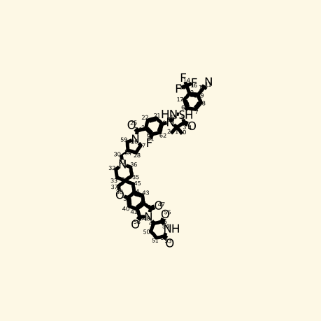 CC1(C)C(=O)[SH](c2ccc(C#N)c(C(F)(F)F)c2)NN1c1ccc(C(=O)N2CC[C@@H](CN3CCC4(CC3)COc3cc5c(cc3C4)C(=O)N(C3CCC(=O)NC3=O)C5=O)C2)c(F)c1